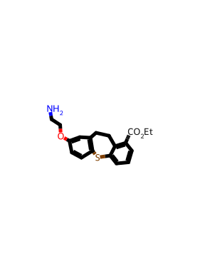 CCOC(=O)c1cccc2c1CCc1cc(OCCN)ccc1S2